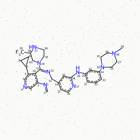 C=Nc1cncc(C2CC2)c1/C(=N\Cc1ccnc(Nc2cccc(N3CCN(C)CC3)c2)c1)N1CCNC(C(F)(F)F)C1